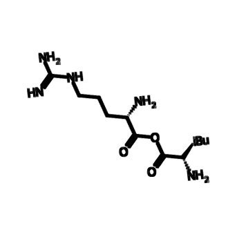 CC[C@H](C)[C@H](N)C(=O)OC(=O)[C@@H](N)CCCNC(=N)N